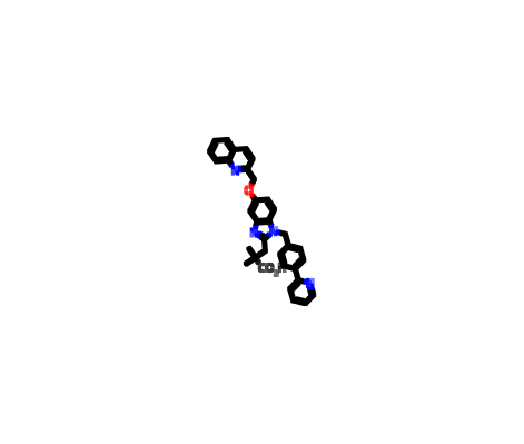 CC(C)(Cc1nc2cc(OCc3ccc4ccccc4n3)ccc2n1Cc1ccc(-c2ccccn2)cc1)C(=O)O